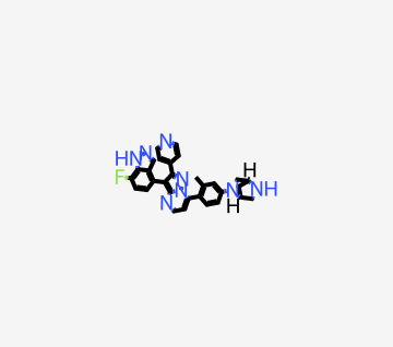 Cc1cc(N2C[C@@H]3C[C@H]2CN3)ccc1-c1ccnc2c(-c3ccc(F)c4[nH]ncc34)c(-c3ccncc3)nn12